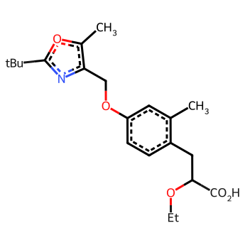 CCOC(Cc1ccc(OCc2nc(C(C)(C)C)oc2C)cc1C)C(=O)O